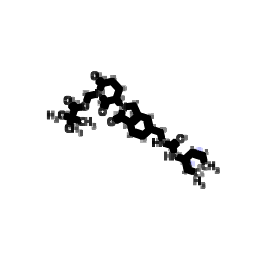 C/C=C\C(=C/C)NC(=O)NCc1ccc2c(c1)CN(C1CCC(=O)N(COC(=O)C(C)(C)C)C1=O)C2=O